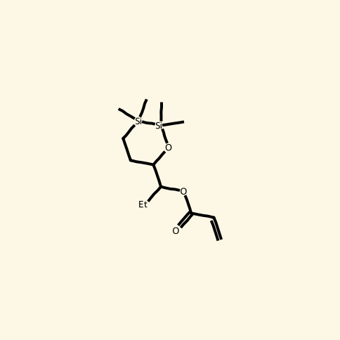 C=CC(=O)OC(CC)C1CC[Si](C)(C)[Si](C)(C)O1